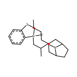 CCCCC1CC2CCC(C1)N2CC(C)C[N+]1([O-])CSc2ccccc21